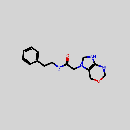 O=C(CN1CNC2=C1COCN2)NCCc1ccccc1